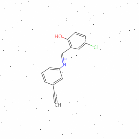 C#Cc1cccc(/N=C/c2cc(Cl)ccc2O)c1